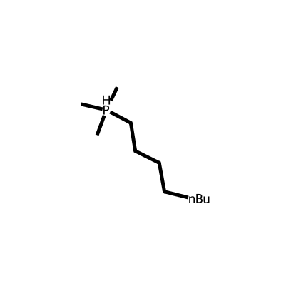 CCCCCCCC[PH](C)(C)C